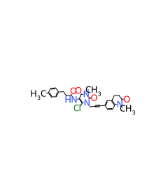 Cc1ccc(CCC(=O)Nc2c(Cl)n(CC#Cc3ccc4c(c3)CCC(=O)N4C)c(=O)n(C)c2=O)cc1